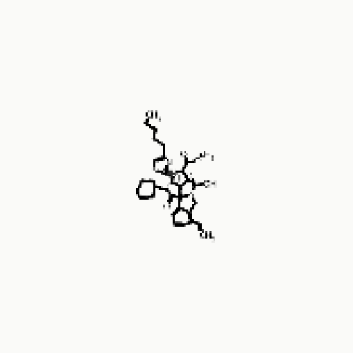 C=CCCCc1csc(N[C@H](C(=O)C2(C3CNC(C(=O)OC)C3)c3cccc(C=C)c3CN2C(=O)O)C2CCCCC2)n1